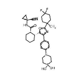 CC1(c2nc(-c3ccc(N4CCS(O)(O)CC4)cc3)c([C@@H]3CCCC[C@H]3C(=O)NC3(C#N)CC3)o2)CCC(F)(F)CC1